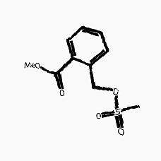 COC(=O)c1ccccc1COS(C)(=O)=O